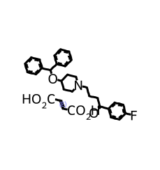 O=C(CCCN1CCC(OC(c2ccccc2)c2ccccc2)CC1)c1ccc(F)cc1.O=C(O)/C=C/C(=O)O